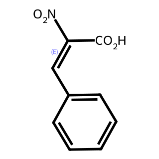 O=C(O)/C(=C\c1ccccc1)[N+](=O)[O-]